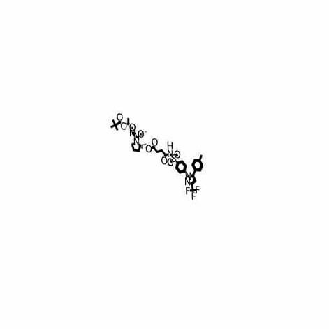 Cc1ccc(-c2cc(C(F)(F)F)nn2-c2ccc(S(=O)(=O)NC(=O)CCC(=O)OC[C@@H]3CCCN3[N+]([O-])=NOC(C)OC(=O)C(C)(C)C)cc2)cc1